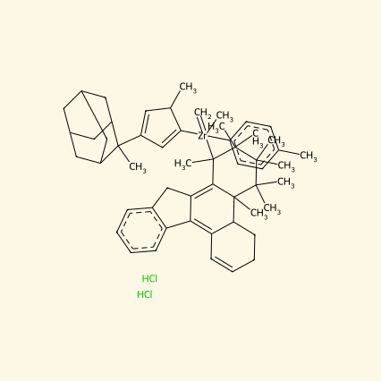 Cl.Cl.[CH2]=[Zr]([CH3])([C]1=CC(C2(C)C3CC4CC(C3)CC2C4)=CC1C)([c]1ccc(C)cc1)[C]1(C)C2=C3Cc4ccccc4C3=C3C=CCCC3C2(C)C(C)(C)C(C)(C)C1(C)C